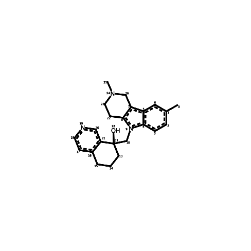 Cc1ccc2c(c1)c1c(n2CC2(O)CCCc3ccncc32)CCN(C)C1